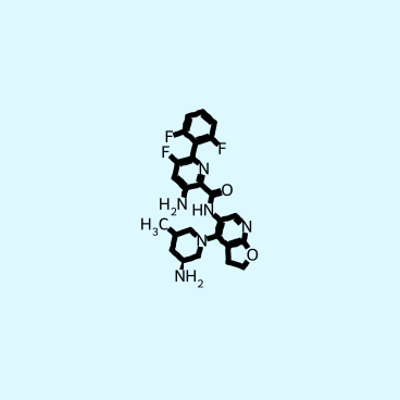 CC1C[C@H](N)CN(c2c(NC(=O)c3nc(-c4c(F)cccc4F)c(F)cc3N)cnc3c2CCO3)C1